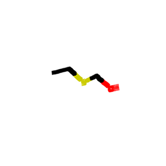 CCSCO